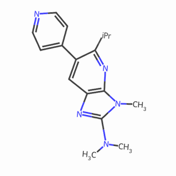 CC(C)c1nc2c(cc1-c1ccncc1)nc(N(C)C)n2C